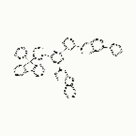 c1ccc(-c2ccc3cc(-c4cccc(-c5nc(-c6cccc(C7(c8ccccc8)c8ccccc8-c8ccccc87)c6)nc(-c6ccc7c(c6)oc6ccccc67)n5)c4)ccc3c2)cc1